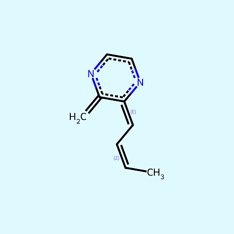 C=c1nccn/c1=C/C=C\C